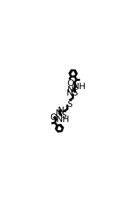 CC(C(=O)Nc1nnc(CCSCCc2nnc(NC(=O)C(C)C3C=CC=CC3C)s2)s1)C1=CCCC=C1